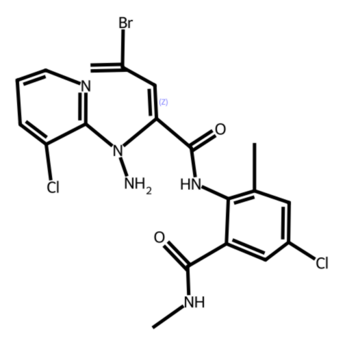 C=C(Br)/C=C(/C(=O)Nc1c(C)cc(Cl)cc1C(=O)NC)N(N)c1ncccc1Cl